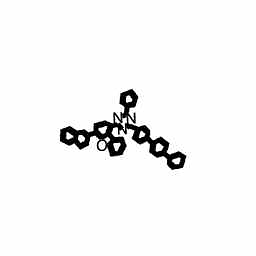 C1=CC(c2ccc(-c3ccc(-c4nc(-c5ccccc5)nc(-c5ccc(-c6ccc7ccccc7c6)c6oc7ccccc7c56)n4)cc3)cc2)=CCC1